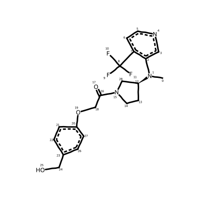 CN(c1cnccc1C(F)(F)F)[C@H]1CCN(C(=O)COc2ccc(CO)cc2)C1